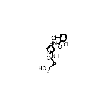 O=C(Nc1ccnc(NC(=O)C2CC2C(=O)O)c1)c1c(Cl)cccc1Cl